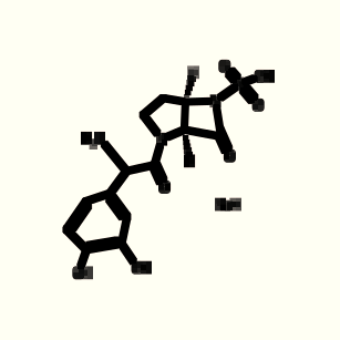 NC(C(=O)N1CC[C@@H]2[C@H]1C(=O)N2S(=O)(=O)O)c1ccc(O)c(O)c1.[NaH]